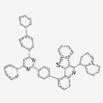 c1ccc(-c2ccc(-c3cc(-c4ccccc4)nc(-c4ccc(-c5cccc6nc(-c7cccc8ccccc78)c7c8ccccc8sc7c56)cc4)n3)cc2)cc1